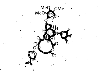 CC[C@H]1CCC[C@H](O[C@H]2CC[C@H](N(C)C)[C@@H](C)O2)[C@@H](C)C(=O)C2=C[C@H]3[C@@H]4C[C@H](O[C@@H]5O[C@@H](C)[C@H](OC)[C@@H](OC)[C@H]5OC)C[C@H]4[C@H]4[C@@H]([C@H]3[C@@H]2CC(=O)O1)N4c1cc(F)c(F)c(F)c1